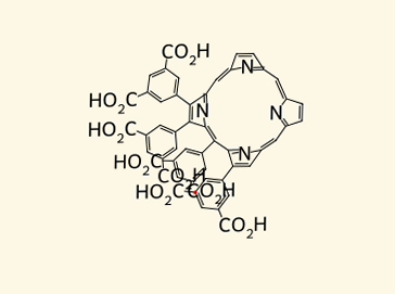 O=C(O)c1cc(C(=O)O)cc(C2=CC3=CC4=NC(=CC5=NC(=CC6=NC(=C(c7cc(C(=O)O)cc(C(=O)O)c7)C2=N3)C(c2cc(C(=O)O)cc(C(=O)O)c2)=C6c2cc(C(=O)O)cc(C(=O)O)c2)C=C5)C=C4)c1